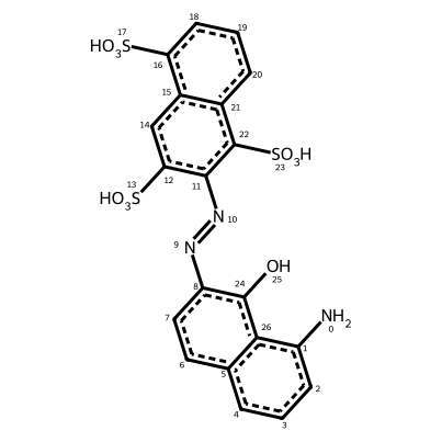 Nc1cccc2ccc(N=Nc3c(S(=O)(=O)O)cc4c(S(=O)(=O)O)cccc4c3S(=O)(=O)O)c(O)c12